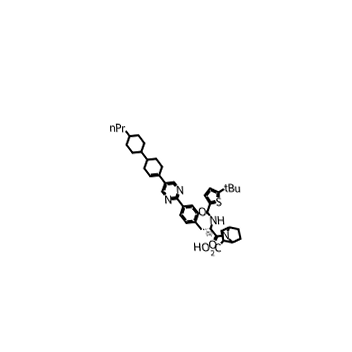 CCCC1CCC(C2CC=C(c3cnc(-c4ccc(C[C@H](NC(=O)c5ccc(C(C)(C)C)s5)C(=O)N5C6CCC5C(C(=O)O)C6)cc4)nc3)CC2)CC1